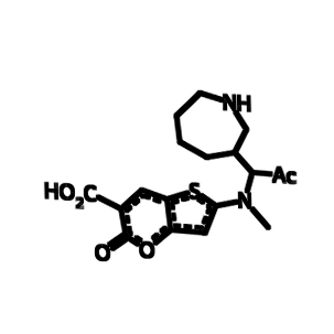 CC(=O)C(C1CCCCNC1)N(C)c1cc2oc(=O)c(C(=O)O)cc2s1